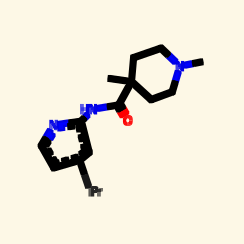 CC(C)c1ccnc(NC(=O)C2(C)CCN(C)CC2)c1